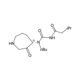 CCCCN(C(=O)NC(=O)CC(C)C)[C@H]1CCCNCC1=O